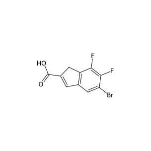 O=C(O)C1=Cc2cc(Br)c(F)c(F)c2C1